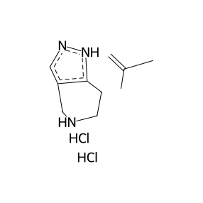 C=C(C)C.Cl.Cl.c1n[nH]c2c1CNCC2